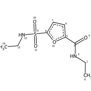 CCNC(=O)c1ccc(S(=O)(=O)NCC)o1